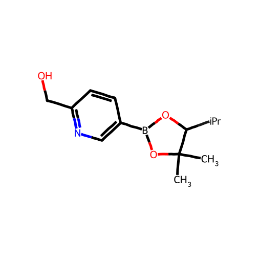 CC(C)C1OB(c2ccc(CO)nc2)OC1(C)C